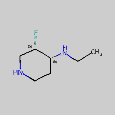 CCN[C@@H]1CCNC[C@@H]1F